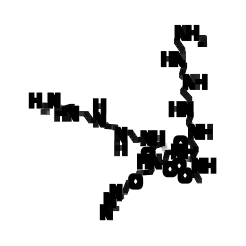 CC(=O)N[C@H](CC(=O)NCCNCCNCCNCCN)C(=O)N[C@@H](CC(=O)NCCNCCNCCNCCN)C(=O)NCCOCCN=[N+]=[N-]